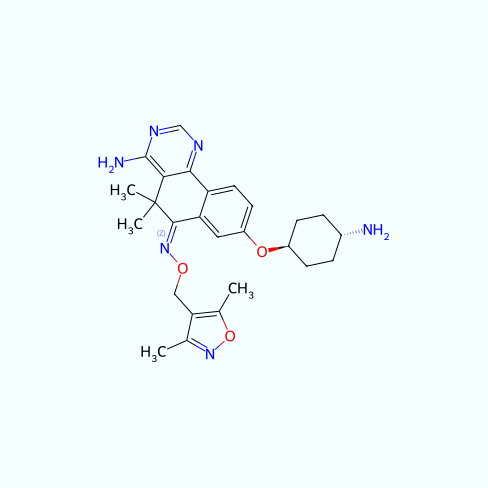 Cc1noc(C)c1CO/N=C1\c2cc(O[C@H]3CC[C@H](N)CC3)ccc2-c2ncnc(N)c2C1(C)C